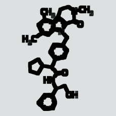 Cc1cc(C)c2c3c(n(Cc4ccc(C(C(=O)N[C@@H](CO)c5ccccc5)C5CCCC5)cc4)c2c1)C(=O)N(C)CC3